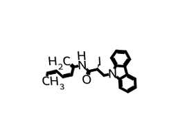 C=C(/C=C\C=C/C)NC(=O)[C@H](I)Cn1c2ccccc2c2ccccc21